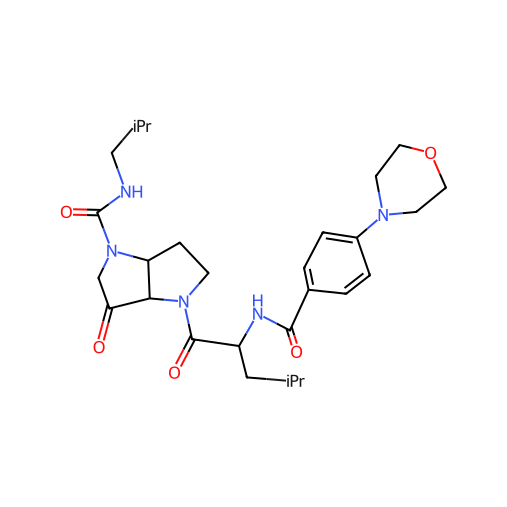 CC(C)CNC(=O)N1CC(=O)C2C1CCN2C(=O)C(CC(C)C)NC(=O)c1ccc(N2CCOCC2)cc1